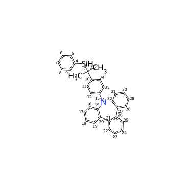 CC(C)([SiH2]c1ccccc1)c1ccc(N2c3ccccc3-c3ccccc3-c3ccccc32)cc1